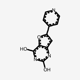 Oc1nc(O)c2oc(-c3ccncc3)cc2n1